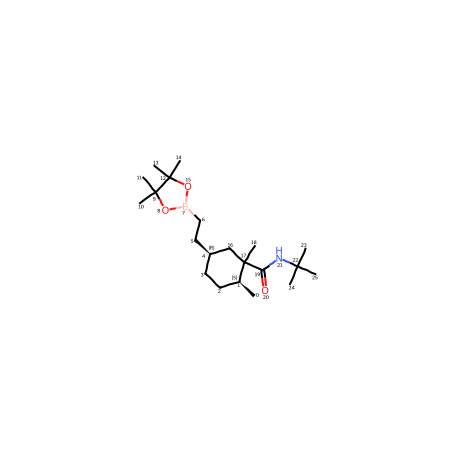 C[C@H]1CC[C@@H](CCB2OC(C)(C)C(C)(C)O2)CC1(C)C(=O)NC(C)(C)C